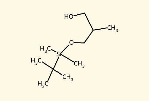 CC(CO)CO[Si](C)(C)C(C)(C)C